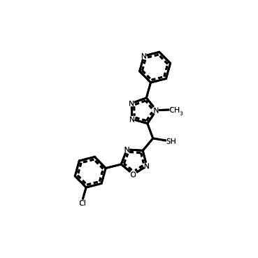 Cn1c(-c2cccnc2)nnc1C(S)c1noc(-c2cccc(Cl)c2)n1